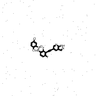 [O-][S+](Nc1ccc(F)c(C#Cc2cnc3[nH]ncc3c2)c1F)c1cc(Cl)ccc1Cl